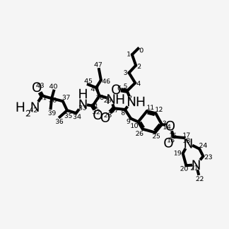 CCCCCC(=O)NC(Cc1ccc(OC(=O)CN2CCN(C)CC2)cc1)C(=O)NC(C(=O)NCC(C)CC(C)(C)C(N)=O)C(C)CC